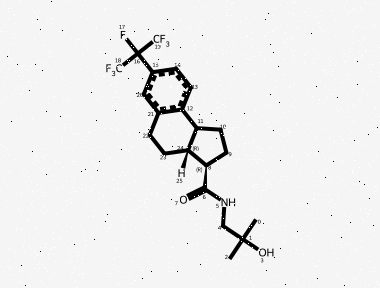 CC(C)(O)CNC(=O)[C@@H]1CCC2c3ccc(C(F)(C(F)(F)F)C(F)(F)F)cc3CC[C@H]21